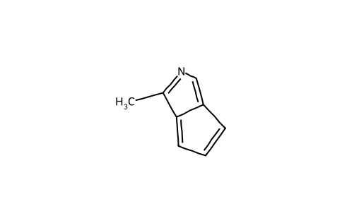 CC1=NC=C2C=CC=C21